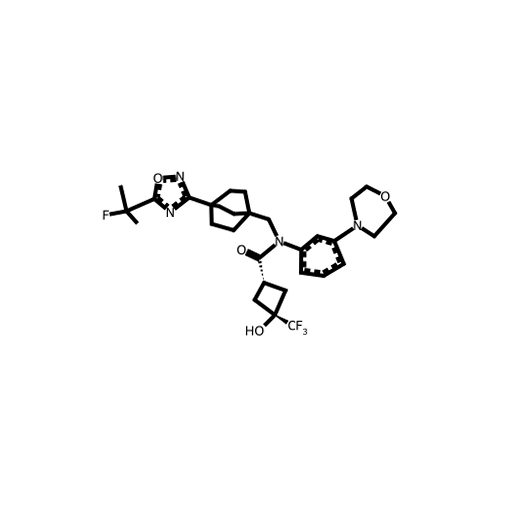 CC(C)(F)c1nc(C23CCC(CN(c4cccc(N5CCOCC5)c4)C(=O)[C@H]4C[C@](O)(C(F)(F)F)C4)(CC2)CC3)no1